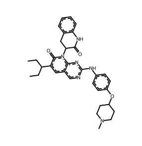 CCC(CC)c1cc2cnc(Nc3ccc(OC4CCN(C)CC4)cc3)nc2n(C2Cc3ccccc3NC2=O)c1=O